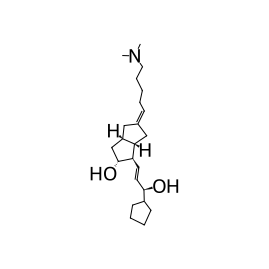 CN(C)CCCC/C=C1\C[C@H]2C[C@@H](O)[C@H](/C=C/[C@@H](O)C3CCCC3)[C@H]2C1